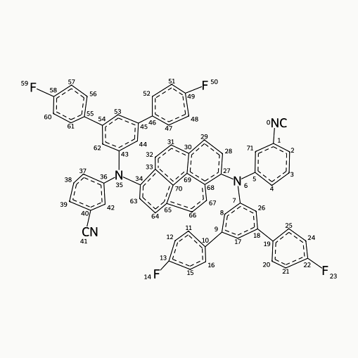 [C-]#[N+]c1cccc(N(c2cc(-c3ccc(F)cc3)cc(-c3ccc(F)cc3)c2)c2ccc3ccc4c(N(c5cccc(C#N)c5)c5cc(-c6ccc(F)cc6)cc(-c6ccc(F)cc6)c5)ccc5ccc2c3c54)c1